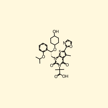 Cc1c(-c2ncco2)sc2c1c(=O)n(C(C)(C)C(=O)O)c(=O)n2C[C@@H](OC1CCC(O)CC1)c1ccccc1OC(C)C